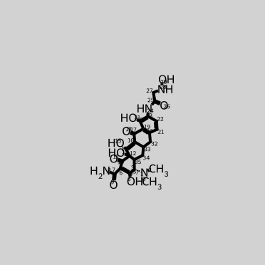 CN(C)[C@@H]1C(O)=C(C(N)=O)C(=O)C2(O)C(O)=C3C(=O)c4c(ccc(NC(=O)CNO)c4O)CC3CC12